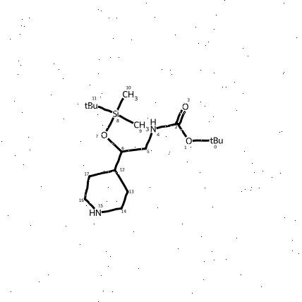 CC(C)(C)OC(=O)NCC(O[Si](C)(C)C(C)(C)C)C1CCNCC1